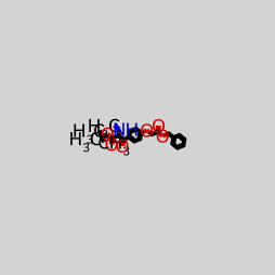 CNC(C(=O)OC(C)(C)C)C(=O)c1ccc(OCC(=O)OCc2ccccc2)cc1